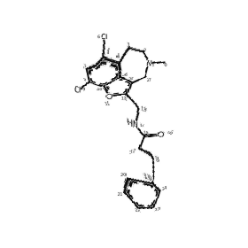 CN1CCc2c(Cl)cc(Cl)c3oc(CNC(=O)CCc4ccccc4)c(c23)C1